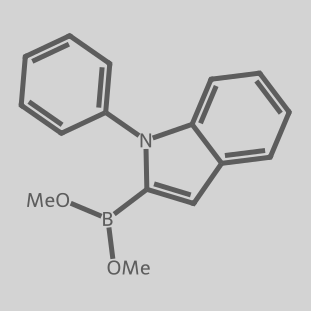 COB(OC)c1cc2ccccc2n1-c1ccccc1